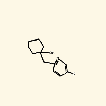 OC1(Cc2ccc(Cl)cn2)CCCCC1